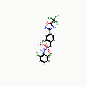 CCOP(=O)(Cc1ccc(-c2noc(C(F)(F)Cl)n2)cc1F)Nc1c(Cl)cccc1Cl